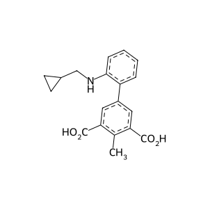 Cc1c(C(=O)O)cc(-c2ccccc2NCC2CC2)cc1C(=O)O